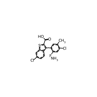 Cc1cc(-c2c(C(=O)O)sc3cc(Cl)ccc23)c(F)cc1Cl.N